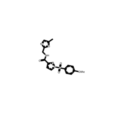 COc1ccc(S(=O)(=O)n2ccc(C(=O)NCc3ncc(C)o3)n2)cc1